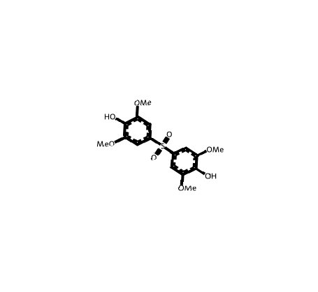 COc1cc(S(=O)(=O)c2cc(OC)c(O)c(OC)c2)cc(OC)c1O